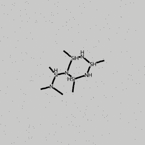 CN(C)[SiH](C)N1[SiH](C)N[SH](C)N[SiH]1C